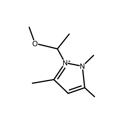 COC(C)[n+]1c(C)cc(C)n1C